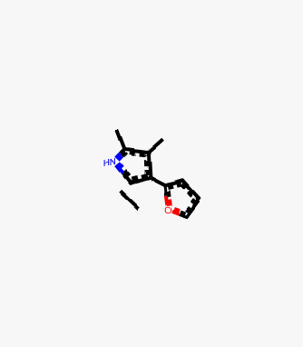 CC.Cc1[nH]cc(-c2ccco2)c1C